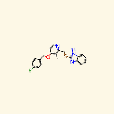 Cc1c(OCc2ccc(F)cc2)ccnc1CSc1nc2ccccc2[nH]1